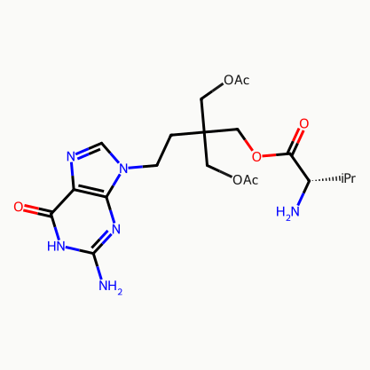 CC(=O)OCC(CCn1cnc2c(=O)[nH]c(N)nc21)(COC(C)=O)COC(=O)[C@@H](N)C(C)C